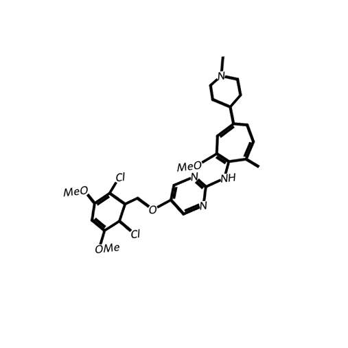 COC1=CC(OC)=C(Cl)C(COc2cnc(NC3=C(OC)C=C(C4CCN(C)CC4)CC=C3C)nc2)C1Cl